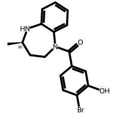 C[C@@H]1CCN(C(=O)c2ccc(Br)c(O)c2)c2ccccc2N1